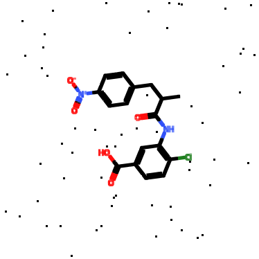 CC(Cc1ccc([N+](=O)[O-])cc1)C(=O)Nc1cc(C(=O)O)ccc1Cl